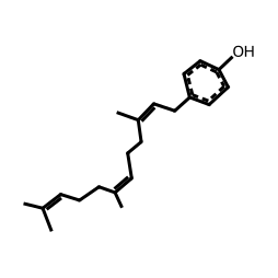 CC(C)=CCCC(C)=CCCC(C)=CCc1ccc(O)cc1